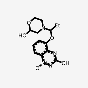 CCC(Oc1cccc2c1nc(O)n[n+]2[O-])N1CCOC(O)C1